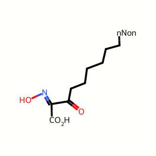 CCCCCCCCCCCCCCCC(=O)C(=NO)C(=O)O